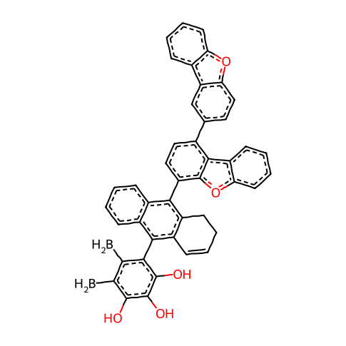 Bc1c(B)c(-c2c3c(c(-c4ccc(-c5ccc6oc7ccccc7c6c5)c5c4oc4ccccc45)c4ccccc24)CCC=C3)c(O)c(O)c1O